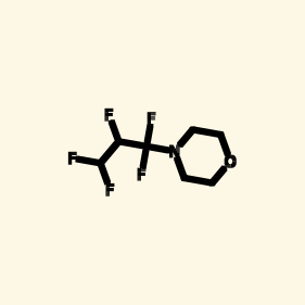 FC(F)C(F)C(F)(F)N1CCOCC1